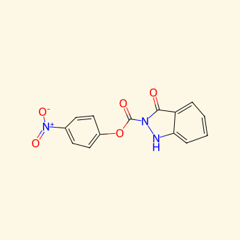 O=C(Oc1ccc([N+](=O)[O-])cc1)n1[nH]c2ccccc2c1=O